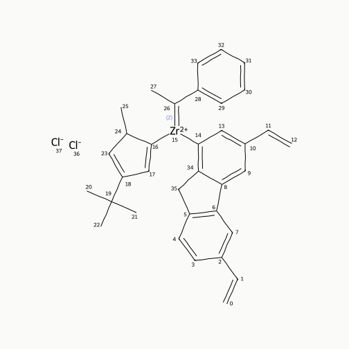 C=Cc1ccc2c(c1)-c1cc(C=C)c[c](/[Zr+2]([C]3=CC(C(C)(C)C)=CC3C)=[C](/C)c3ccccc3)c1C2.[Cl-].[Cl-]